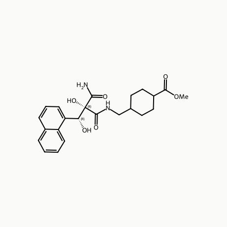 COC(=O)C1CCC(CNC(=O)[C@](O)(C(N)=O)[C@H](O)c2cccc3ccccc23)CC1